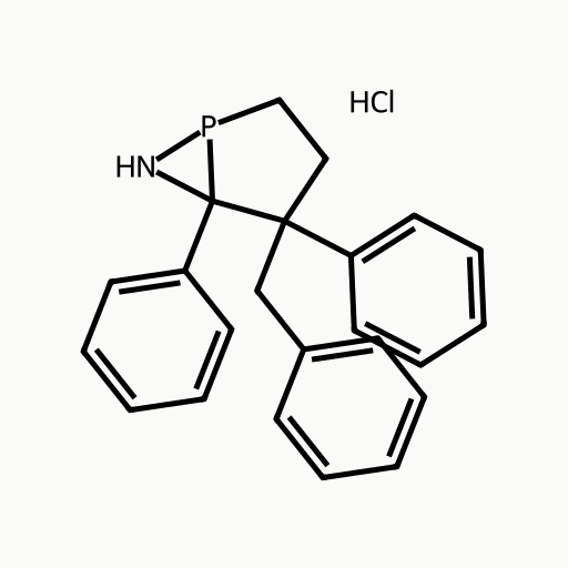 Cl.c1ccc(CC2(c3ccccc3)CCP3NC32c2ccccc2)cc1